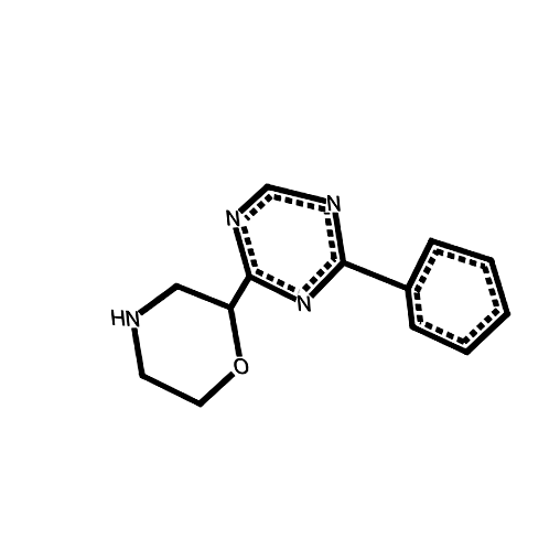 c1ccc(-c2ncnc(C3CNCCO3)n2)cc1